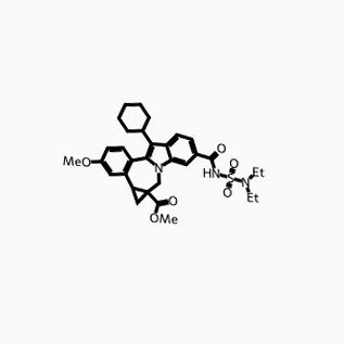 CCN(CC)S(=O)(=O)NC(=O)c1ccc2c(C3CCCCC3)c3n(c2c1)CC1(C(=O)OC)CC1c1cc(OC)ccc1-3